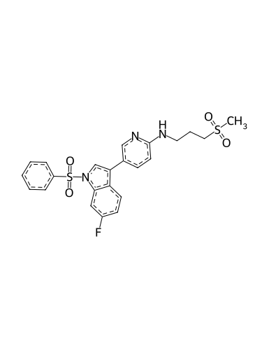 CS(=O)(=O)CCCNc1ccc(-c2cn(S(=O)(=O)c3ccccc3)c3cc(F)ccc23)cn1